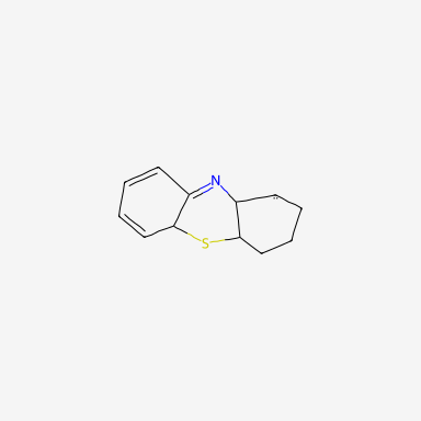 [C]1CCCC2SC3C=CC=CC3=NC12